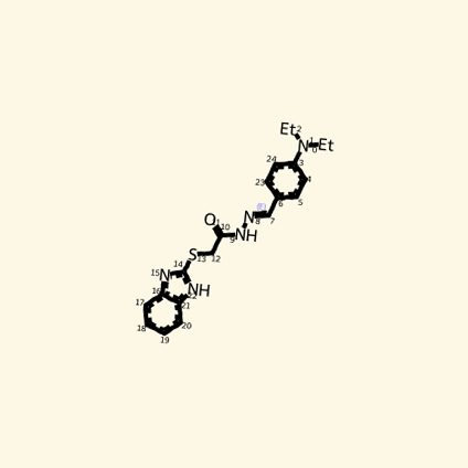 CCN(CC)c1ccc(/C=N/NC(=O)CSc2nc3ccccc3[nH]2)cc1